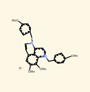 COc1ccc(CN2C=Cc3cc(OC)c(OC)c4c3c2cc[n+]4Cc2ccc(OC)cc2)cc1.[Br-]